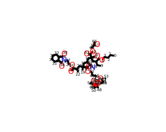 CCCCOC(=O)C(CC)CC(C)(CC(C#N)CC(C)(CC(C)C(=O)OCCN1C(=O)C2CCCCC2C1=O)C(=O)OCCC[Si](O[Si](C)(C)C)(O[Si](C)(C)C)O[Si](C)(C)C)C(=O)OCC1CO1